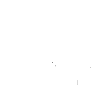 CCc1cccc(C(I)(I)I)n1